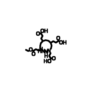 CCOC(=O)CCN1CCC(CCC(=O)O)CCC(CCC(=O)O)CCN(CCC(=O)O)NN1